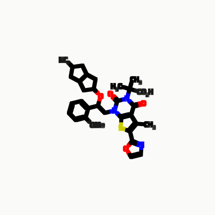 COc1ccccc1C(Cn1c(=O)n(C(C)(C)C(=O)O)c(=O)c2c(C)c(-c3ncco3)sc21)OC1CC2CC(C#N)CC2C1